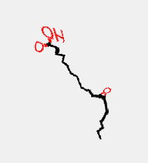 CCCCCC1OC1CCCCCCCC/C=C/C(=O)O